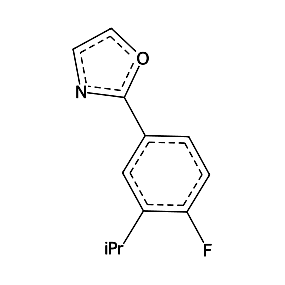 CC(C)c1cc(-c2ncco2)ccc1F